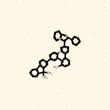 Cc1ccc(-c2ccc3c(c2)C(C)(C)c2ccccc2-3)cc1-c1c(C)cccc1-c1ccc(-c2c(-c3ccccc3)nc3ccccn23)cc1